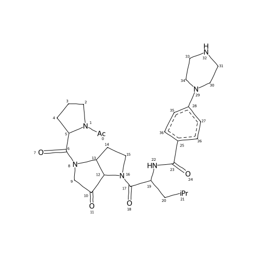 CC(=O)N1CCCC1C(=O)N1CC(=O)C2C1CCN2C(=O)C(CC(C)C)NC(=O)c1ccc(N2CCNCC2)cc1